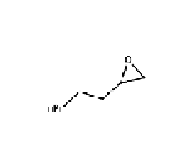 CCCC[CH]C1CO1